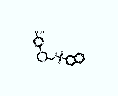 CCOC(=O)c1cnc(N2CCOC(CNS(=O)(=O)c3ccc4ccccc4c3)C2)nc1